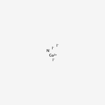 [Ga+3].[I-].[I-].[I-].[N]